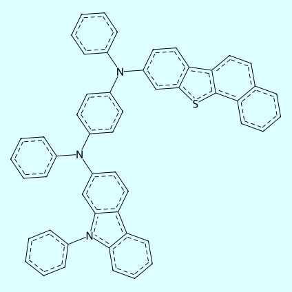 c1ccc(N(c2ccc(N(c3ccccc3)c3ccc4c5ccccc5n(-c5ccccc5)c4c3)cc2)c2ccc3c(c2)sc2c4ccccc4ccc32)cc1